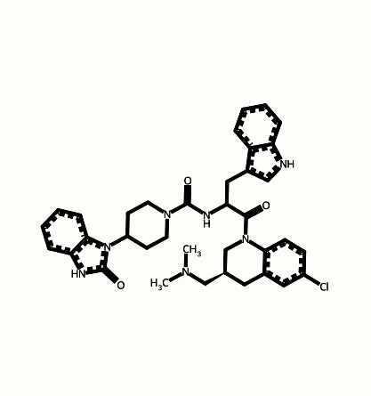 CN(C)C[C@@H]1Cc2cc(Cl)ccc2N(C(=O)C(Cc2c[nH]c3ccccc23)NC(=O)N2CCC(n3c(=O)[nH]c4ccccc43)CC2)C1